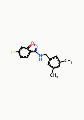 Cc1cc(C)cc(CNc2noc3cc(F)ccc23)c1